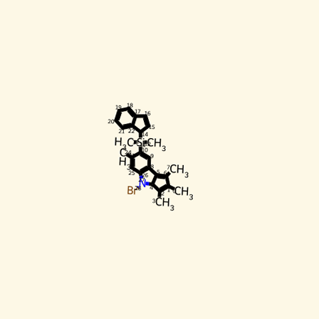 CC1=C(C)C2C(=C1C)c1cc([Si](C)(C)C3C=Cc4ccccc43)c(C)cc1N2Br